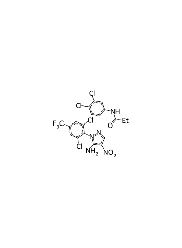 CCC(=O)Nc1ccc(Cl)c(Cl)c1.Nc1c([N+](=O)[O-])cnn1-c1c(Cl)cc(C(F)(F)F)cc1Cl